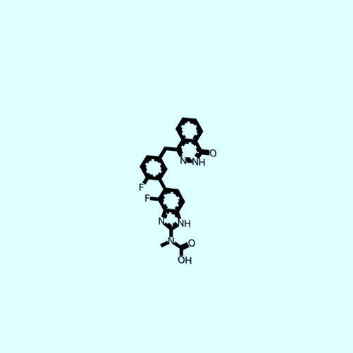 CN(C(=O)O)c1nc2c(F)c(-c3cc(Cc4n[nH]c(=O)c5ccccc45)ccc3F)ccc2[nH]1